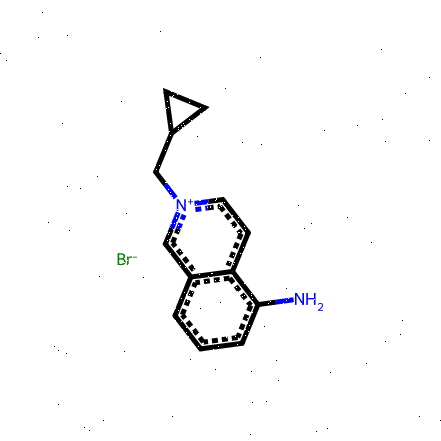 Nc1cccc2c[n+](CC3CC3)ccc12.[Br-]